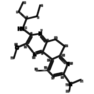 CCC(CC)Nc1nc2c(nc1OC)-c1c(C)cc(N(C)C)nc1CC2